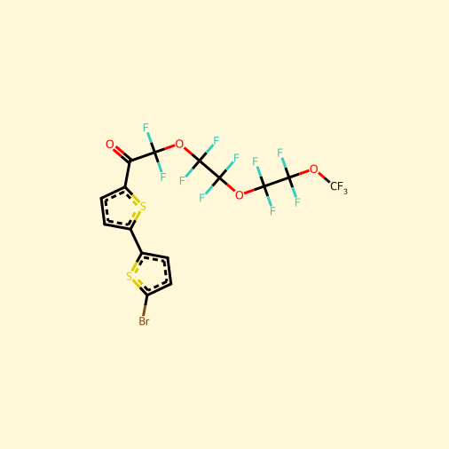 O=C(c1ccc(-c2ccc(Br)s2)s1)C(F)(F)OC(F)(F)C(F)(F)OC(F)(F)C(F)(F)OC(F)(F)F